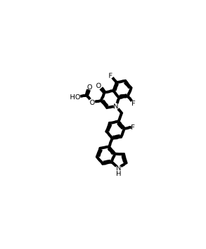 O=C(O)Oc1cn(Cc2ccc(-c3cccc4[nH]ccc34)cc2F)c2c(F)ccc(F)c2c1=O